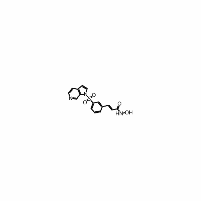 O=C(/C=C/c1cccc(S(=O)(=O)n2ccc3ccncc32)c1)NO